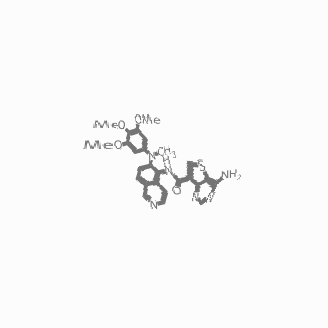 COc1cc(N(C)c2ccc3cnccc3c2NC(=O)c2csc3c(N)ncnc23)cc(OC)c1OC